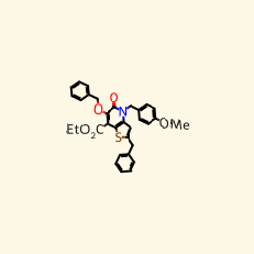 CCOC(=O)c1c(OCc2ccccc2)c(=O)n(Cc2ccc(OC)cc2)c2cc(Cc3ccccc3)sc12